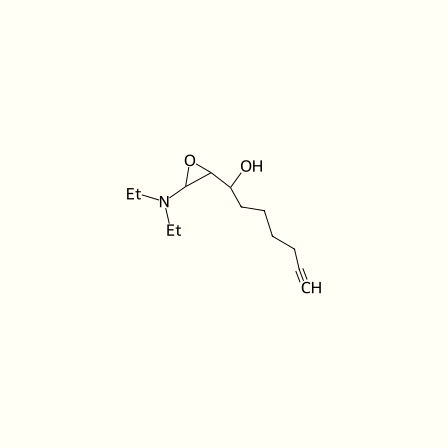 C#CCCCCC(O)C1OC1N(CC)CC